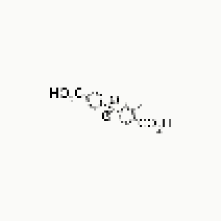 Cc1c(C(=O)O)ccc(S(=O)(=O)c2ccc(C(=O)O)cc2)c1C